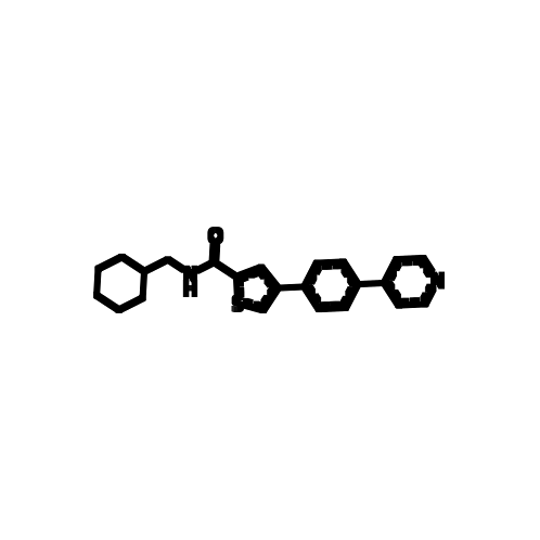 O=C(NCC1CCCCC1)c1cc(-c2ccc(-c3ccncc3)cc2)cs1